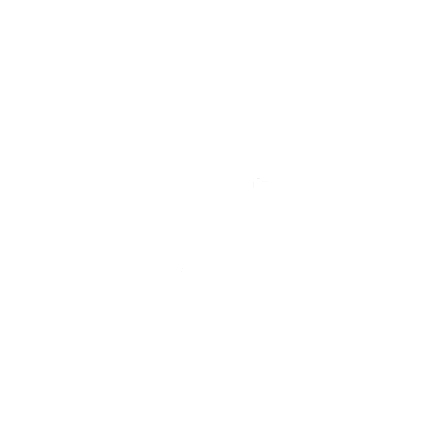 C=CC(C)(C(C)C)[C@@]1(C)C=CC1(C)Br